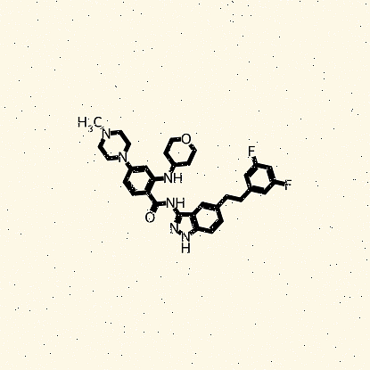 CN1CCN(c2ccc(C(=O)Nc3n[nH]c4ccc(CCc5cc(F)cc(F)c5)cc34)c(NC3CCOCC3)c2)CC1